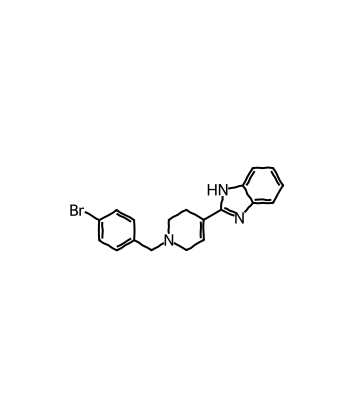 Brc1ccc(CN2CC=C(c3nc4ccccc4[nH]3)CC2)cc1